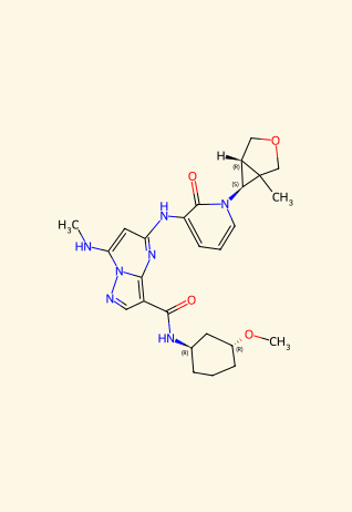 CNc1cc(Nc2cccn([C@H]3[C@@H]4COCC34C)c2=O)nc2c(C(=O)N[C@@H]3CCC[C@@H](OC)C3)cnn12